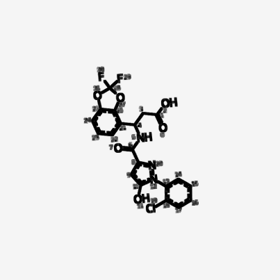 O=C(O)CC(NC(=O)c1cc(O)n(-c2ccccc2Cl)n1)c1cccc2c1OC(F)(F)O2